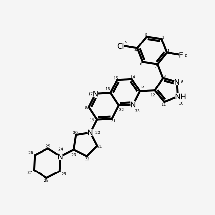 Fc1ccc(Cl)cc1-c1n[nH]cc1-c1ccc2ncc(N3CCC(N4CCCCC4)C3)cc2n1